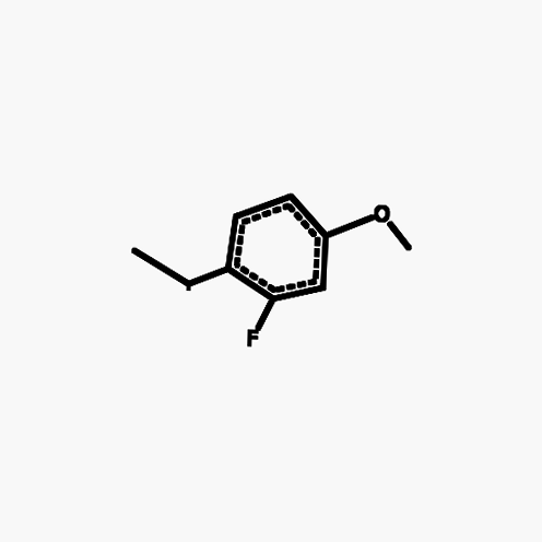 C[CH]c1ccc(OC)cc1F